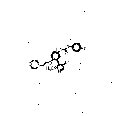 Cn1ncc(Br)c1-c1cc(NC(=O)Nc2ccc(Cl)cc2)ccc1OCCN1CCOCC1